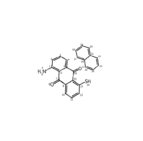 Nc1cccc2c1C(=O)c1cccc(S)c1C2=O.c1ccc2ccccc2c1